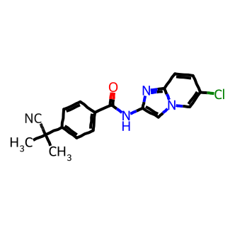 CC(C)(C#N)c1ccc(C(=O)Nc2cn3cc(Cl)ccc3n2)cc1